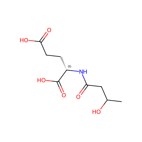 CC(O)CC(=O)N[C@@H](CCC(=O)O)C(=O)O